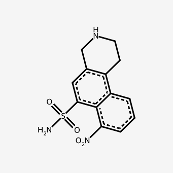 NS(=O)(=O)c1cc2c(c3cccc([N+](=O)[O-])c13)CCNC2